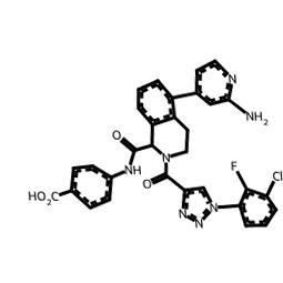 Nc1cc(-c2cccc3c2CCN(C(=O)c2cn(-c4cccc(Cl)c4F)nn2)C3C(=O)Nc2ccc(C(=O)O)cc2)ccn1